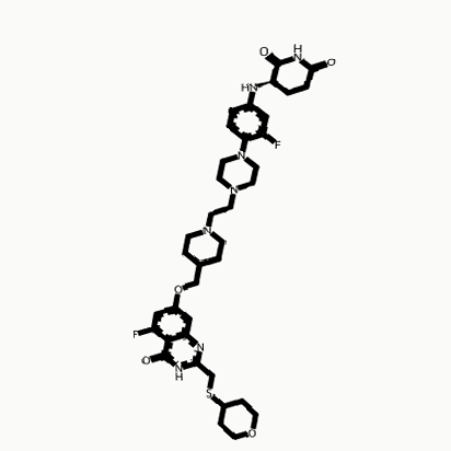 O=C1CC[C@@H](Nc2ccc(N3CCN(CCN4CCC(COc5cc(F)c6c(=O)[nH]c(CSC7CCOCC7)nc6c5)CC4)CC3)c(F)c2)C(=O)N1